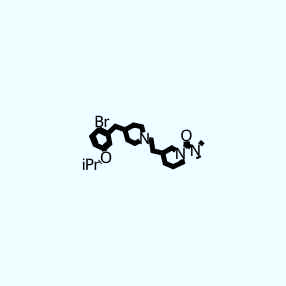 CC(C)Oc1ccc(Br)c(CC2CCN(CCC3CCCN(C(=O)N(C)C)C3)CC2)c1